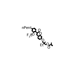 C=C(C)C(=O)OCC(C)(CC)COc1ccc2cc(-c3ccc(CCCCC)cc3OC(F)(F)F)c(=O)oc2c1